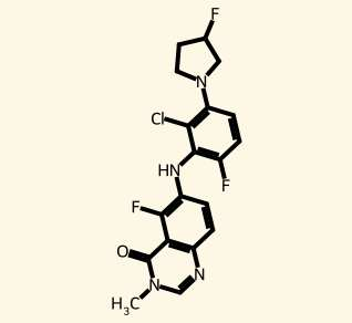 Cn1cnc2ccc(Nc3c(F)ccc(N4CCC(F)C4)c3Cl)c(F)c2c1=O